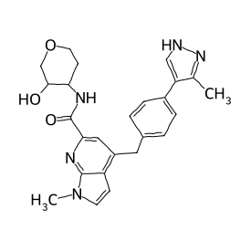 Cc1n[nH]cc1-c1ccc(Cc2cc(C(=O)NC3CCOCC3O)nc3c2ccn3C)cc1